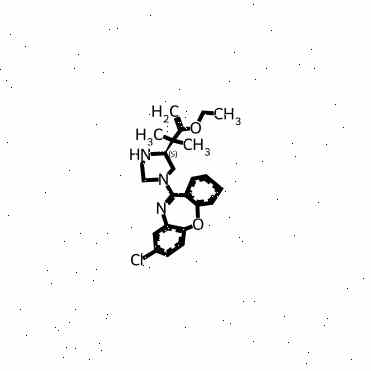 C=C(OCC)C(C)(C)[C@H]1CN(C2=Nc3cc(Cl)ccc3Oc3ccccc32)CCN1